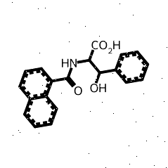 O=C(NC(C(=O)O)C(O)c1ccccc1)c1cccc2ccccc12